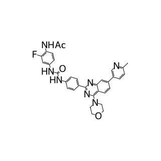 CC(=O)Nc1ccc(NC(=O)Nc2ccc(-c3nc(N4CCOCC4)c4ccc(-c5ccc(C)nc5)cc4n3)cc2)cc1F